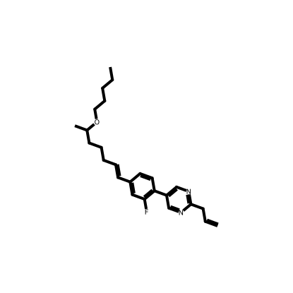 C=CCc1ncc(-c2ccc(C=CCCCC(C)OCCCCC)cc2F)cn1